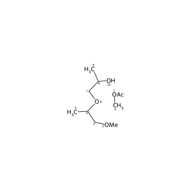 COC(C)=O.COCC(C)OCC(C)O